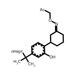 CCCCCCCC(C)(C)c1ccc(C2CCC/C(=N/OCC(C)=O)C2)c(O)c1